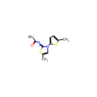 Cc1ccc(-n2cc(C)s/c2=N\C(=O)C(C)(C)C)s1